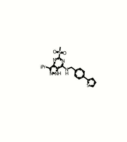 CC(C)c1n[nH]c2c(NCc3ccc(-c4cccs4)cc3)nc(S(C)(=O)=O)nc12